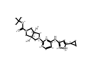 CC(C)(C)OC(=O)N1C[C@@H]2CN(c3nccc(Nc4cc(C5CC5)[nH]n4)n3)C[C@@H]2C1